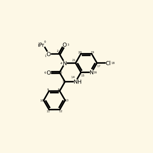 CC(C)OC(=O)N1C(=O)C(c2ccccc2)Nc2nc(Cl)ccc21